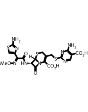 CON=C(C(=O)N[C@@H]1C(=O)N2C(C(=O)O)=C(CSc3ncc(C(=O)O)c(N)n3)CS[C@@H]12)c1csc(N)n1